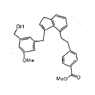 COC(=O)c1ccc(CCc2cccc3c2C(Cc2cc(CO)cc(OC)c2)=CC3)cc1